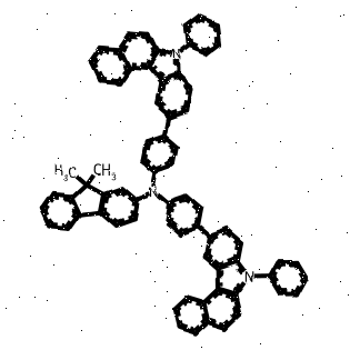 CC1(C)c2ccccc2-c2ccc(N(c3ccc(-c4ccc5c(c4)c4c6ccccc6ccc4n5-c4ccccc4)cc3)c3ccc(-c4ccc5c(c4)c4c6ccccc6ccc4n5-c4ccccc4)cc3)cc21